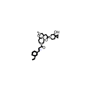 C=Cc1cccc(/C=C/C(=O)N2CCC(=O)N(C(COC)CC(=O)N3CCC4(CC4)[C@H](O)C3)CC2)c1